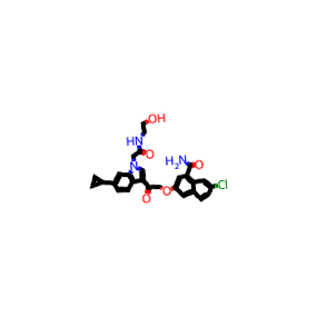 NC(=O)c1cc(OCC(=O)c2cn(CC(=O)NCCO)c3cc(C4CC4)ccc23)cc2ccc(Cl)cc12